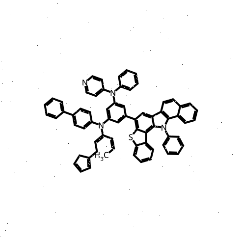 C/C=C\C(=C/CC1=CC=CC1)N(c1ccc(-c2ccccc2)cc1)c1cc(-c2cc3c4ccc5ccccc5c4n(-c4ccccc4)c3c3c2sc2ccccc23)cc(N(c2ccccc2)c2ccncc2)c1